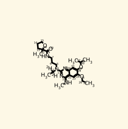 [2H]C([2H])(C)N(CCCNC(=O)C1(C)CCCO1)c1nc(NC)c2cc(OCC)c(OC(C)C)cc2n1